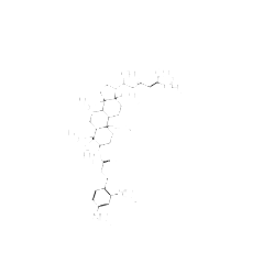 CC(C)=CCCC(C)C1CCC2(C)C3CCC4C(C)(C)C(OC(=O)CCc5ccc(N)cc5N)CCC4(C)C3CCC12C